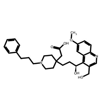 COc1ccc2ncc(CO)c([C@@H](O)CCC3(CC(=O)O)CCN(CCCc4ccccc4)CC3)c2c1